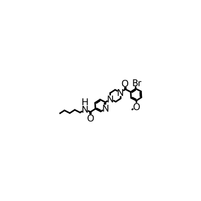 CCCCCNC(=O)c1ccc(N2CCN(C(=O)c3cc(OC)ccc3Br)CC2)nc1